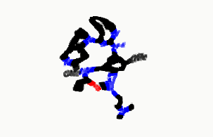 C=CC(=O)Nc1cc(Nc2nccc(-n3ccc4cnc(OC)cc43)n2)c(OC)cc1N(C)CCN(C)C